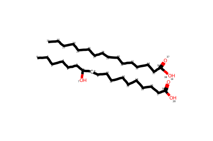 CCCCCCC(O)CCCCCCCCCCC(=O)O.CCCCCCCCCCCCCCCC(=O)O